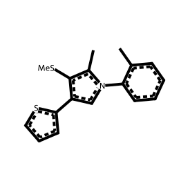 CSc1c(-c2cccs2)cn(-c2ccccc2C)c1C